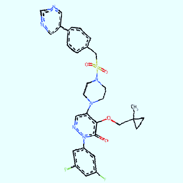 CC1(COc2c(N3CCN(S(=O)(=O)Cc4ccc(-c5cncnc5)cc4)CC3)cnn(-c3cc(F)cc(F)c3)c2=O)CC1